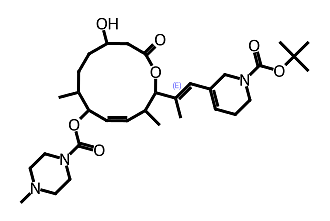 C/C(=C\C1=CCCN(C(=O)OC(C)(C)C)C1)C1OC(=O)CC(O)CCC(C)C(OC(=O)N2CCN(C)CC2)C=CC1C